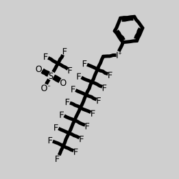 FC(F)(F)C(F)(F)C(F)(F)C(F)(F)C(F)(F)C(F)(F)C(F)(F)C[I+]c1ccccc1.O=S(=O)([O-])C(F)(F)F